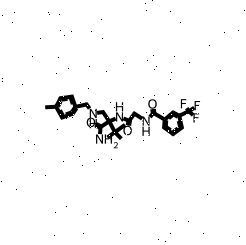 Cc1ccc(CNCC(NC(=O)CNC(=O)c2cccc(C(F)(F)F)c2)(C(N)=O)C(C)(C)C)cc1